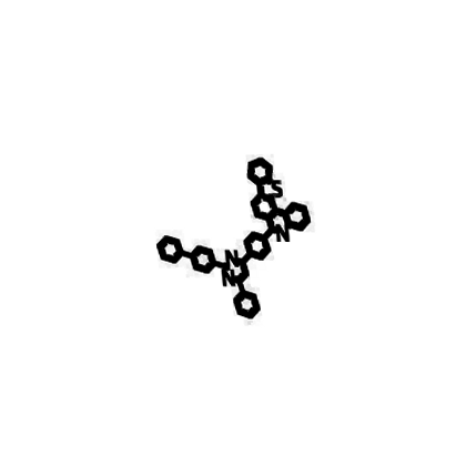 c1ccc(-c2ccc(-c3nc(-c4ccccc4)cc(-c4ccc(-c5nc6ccccc6c6c5ccc5c7ccccc7sc56)cc4)n3)cc2)cc1